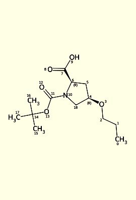 CCCO[C@@H]1C[C@H](C(=O)O)N(C(=O)OC(C)(C)C)C1